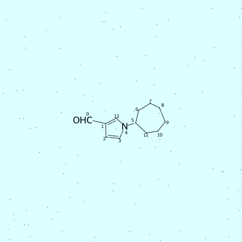 O=Cc1ccn(C2CCCCCC2)c1